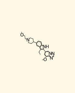 CCc1c(-c2cc(OC)c3ncnn3c2)[nH]c2ccc(C3CCN(CCOC)CC3)cc12